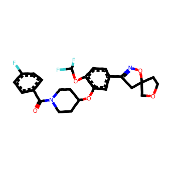 O=C(c1ccc(F)cc1)N1CCC(Oc2cc(C3=NOC4(CCOC4)C3)ccc2OC(F)F)CC1